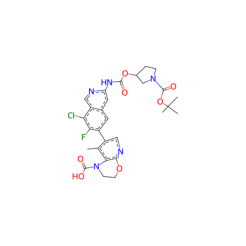 Cc1c(-c2cc3cc(NC(=O)OC4CCN(C(=O)OC(C)(C)C)C4)ncc3c(Cl)c2F)cnc2c1N(C(=O)O)CCO2